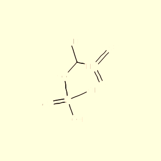 CC(OP(=O)(O)O)[SH](=O)=O